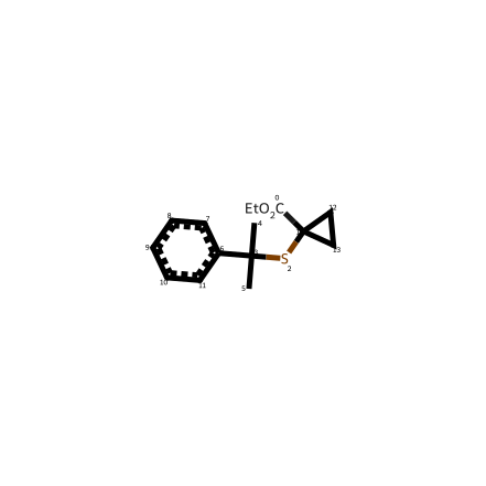 CCOC(=O)C1(SC(C)(C)c2ccccc2)CC1